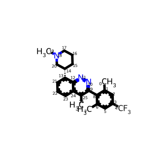 Cc1cc(C(F)(F)F)cc(C)c1-c1nnc2c([C@H]3CCCN(C)C3)cccc2c1C